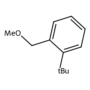 COCc1ccccc1C(C)(C)C